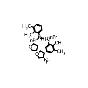 C1CCOC1.C1CCOC1.CCC[N]([Hf+2][N](CCC)c1cccc(C)c1C)c1cccc(C)c1C.[F-].[F-]